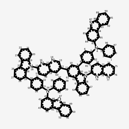 c1ccc(N(c2ccc(-c3cc(-c4cnc5nc(-n6c7ccccc7c7cccc(-c8ccc(N(c9ccccc9)c9cccc%10c9oc9ccccc9%10)cc8)c76)ccc5c4)cc4c5ccccc5n(-c5ccc6cccnc6n5)c34)cc2)c2ccc3sc4ccccc4c3c2)cc1